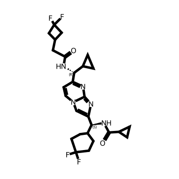 O=C(CC1CC(F)(F)C1)N[C@@H](c1ccn2cc([C@@H](NC(=O)C3CC3)C3CCC(F)(F)CC3)nc2n1)C1CC1